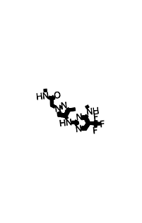 CNC(=O)Cn1cc(Nc2ncc(C(F)(F)F)c(NC)n2)c(C)n1